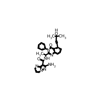 CC(NC(=O)c1c(N)nn2cccnc12)c1nc2cccc(C#CC(C)(C)O)c2c(=O)n1-c1ccccc1